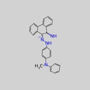 CN(c1ccccc1)c1ccc(N/N=C2\C(=N)c3ccccc3-c3ccccc32)cc1